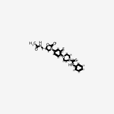 CC(=O)NC[C@H]1CN(c2ccc(N3CCN(C(=S)Nc4ccccc4)CC3)c(F)c2)C(=O)O1